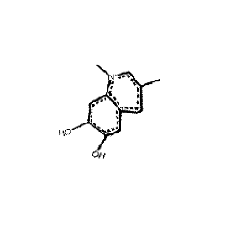 Cc1cc2cc(O)c(O)cc2[n+](C)c1